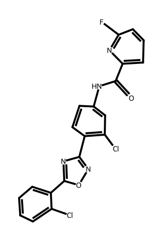 O=C(Nc1ccc(-c2noc(-c3ccccc3Cl)n2)c(Cl)c1)c1cccc(F)n1